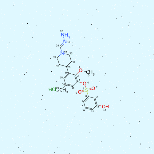 COc1c(OS(=O)(=O)c2cccc(O)c2)cc(C)cc1C1CCN(C=NN)CC1.Cl